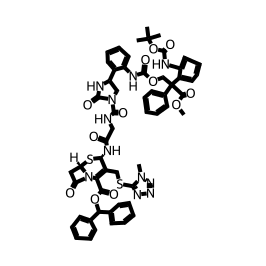 COC(=O)C(COC(=O)Nc1ccccc1C1CN(C(=O)NCC(=O)N[C@@H]2S[C@H]3CC(=O)N3C(C(=O)OC(c3ccccc3)c3ccccc3)=C2CSc2nnnn2C)C(=O)N1)(c1ccccc1)c1ccccc1NC(=O)OC(C)(C)C